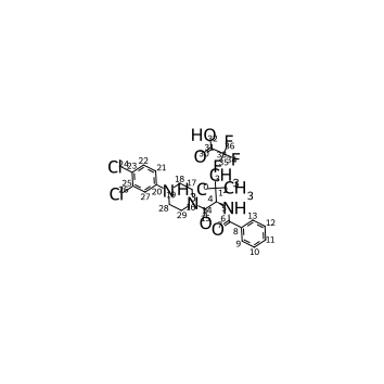 CC(C)(C)[C@@H](NC(=O)c1ccccc1)C(=O)N1CCN(c2ccc(Cl)c(Cl)c2)CC1.O=C(O)C(F)(F)F